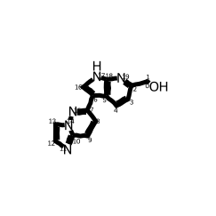 OCc1ccc2c(-c3ccc4nccn4n3)c[nH]c2n1